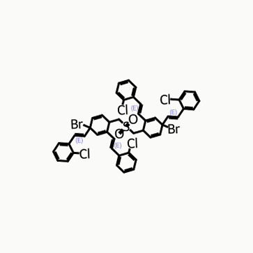 O=S(=O)(CC1C=CC(Br)(/C=C/c2ccccc2Cl)C=C1/C=C/c1ccccc1Cl)CC1C=CC(Br)(/C=C/c2ccccc2Cl)C=C1/C=C/c1ccccc1Cl